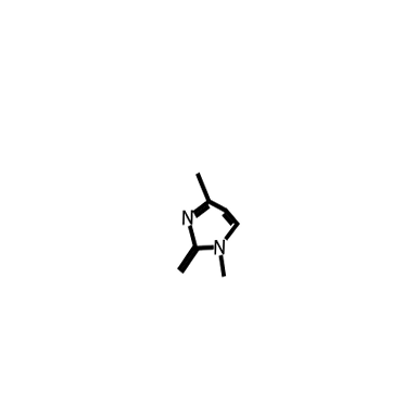 C=C1N=C(C)C=CN1C